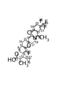 CC(C(=O)O)C(c1ccc2c(c1F)OC1(CC2)CCN(C(C)c2cc(C(F)(F)F)ccc2Cl)CC1)C1CC1